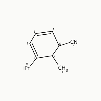 CC(C)C1=CC=CC(C#N)C1C